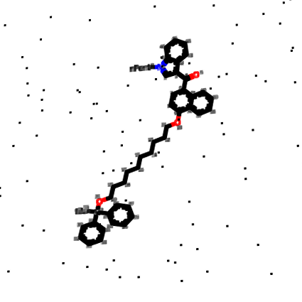 CCCCCn1cc(C(=O)c2ccc(OCCCCCCCCCCO[Si](c3ccccc3)(c3ccccc3)C(C)(C)C)c3ccccc23)c2ccccc21